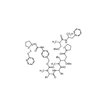 CCC(C)C(C(CC(=O)N1CCC[C@H]1C(OC)C(C)C(=O)NC(Cc1ccccc1)C(=O)O)OC)N(C)C(=O)C(NC(=O)C(C(C)C)N(C)C(=O)OCc1ccc(NC(=O)O[C@@H]2CCC[C@H]2SSc2ccccn2)cc1)C(C)C